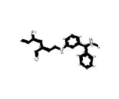 C=C/C(F)=C\C(C=O)=C/COc1cccc(C(NC)c2ccccc2)c1